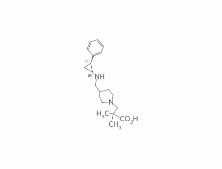 CC(C)(CN1CCC(CN[C@@H]2C[C@H]2c2ccccc2)CC1)C(=O)O